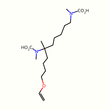 C=COCCCCC(C)(CCCCCN(C)C(=O)O)N(C)C(=O)O